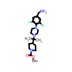 CC(C)(C)OC(=O)N1CCC(C(C)(C)N2CCN(c3c(F)cc(CN)cc3F)CC2)CC1